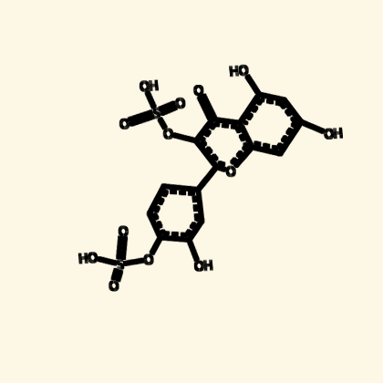 O=c1c(OS(=O)(=O)O)c(-c2ccc(OS(=O)(=O)O)c(O)c2)oc2cc(O)cc(O)c12